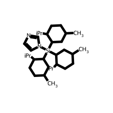 CC1CCC(C(C)C)C([Si](C2CC(C)CCC2C(C)C)(C2CC(C)CCC2C(C)C)n2ccnc2)C1